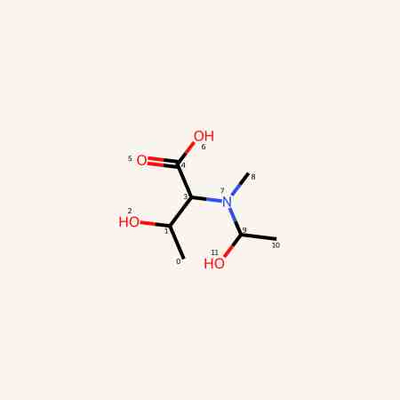 CC(O)C(C(=O)O)N(C)C(C)O